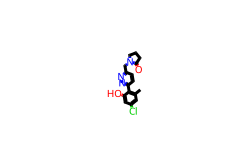 Cc1cc(Cl)cc(O)c1-c1ccc(CN2CCCC2=O)nn1